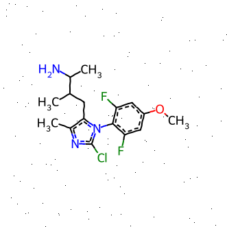 COc1cc(F)c(-n2c(Cl)nc(C)c2CC(C)C(C)N)c(F)c1